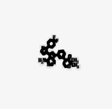 CC1(C)OCCN(c2cccc(-c3cc(-c4ccnn4C4CCC(F)(F)CC4)c4c(N)ncnn34)c2)C1=O